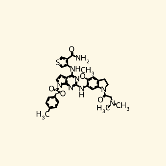 COc1cc2c(cc1Nc1nc(Nc3cscc3C(N)=O)c3ccn(S(=O)(=O)c4ccc(C)cc4)c3n1)N(C(=O)CN(C)C)CC2